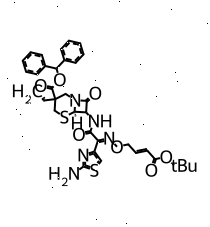 C=CC1(C(=O)OC(c2ccccc2)c2ccccc2)CS[C@@H]2C(NC(=O)C(=NOCC=CC(=O)OC(C)(C)C)c3csc(N)n3)C(=O)N2C1